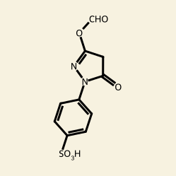 O=COC1=NN(c2ccc(S(=O)(=O)O)cc2)C(=O)C1